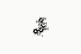 CC1=C(C(=O)NC2=CNCCN2)N2N=C(c3ccccc3C(F)(F)F)C=CC2N1